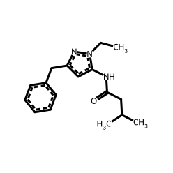 CCn1nc(Cc2ccccc2)cc1NC(=O)CC(C)C